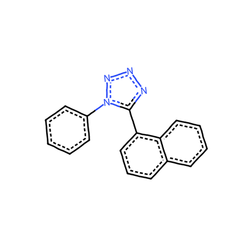 c1ccc(-n2nnnc2-c2cccc3ccccc23)cc1